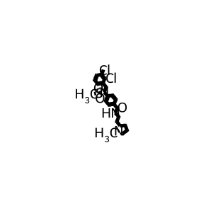 CN1CCCC1CCNC(=O)c1ccc(N(Cc2cccc(Cl)c2Cl)S(C)(=O)=O)cc1